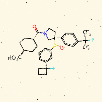 O=C(O)[C@H]1CC[C@H](C(=O)N2CCC(c3ccc(C(F)(C(F)(F)F)C(F)(F)F)cc3)([S+]([O-])c3cccc(C4(F)CCC4)c3)C2)CC1